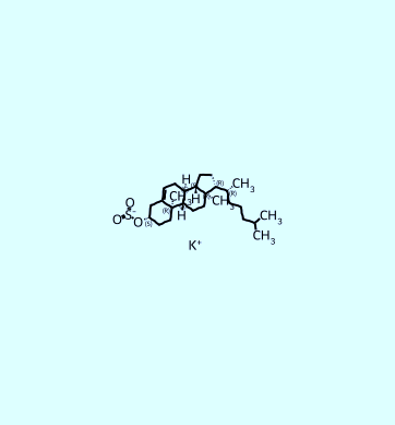 CC(C)CCC[C@@H](C)[C@H]1CC[C@H]2[C@@H]3CC=C4C[C@@H](O[S-](=O)=O)CC[C@]4(C)[C@H]3CC[C@]12C.[K+]